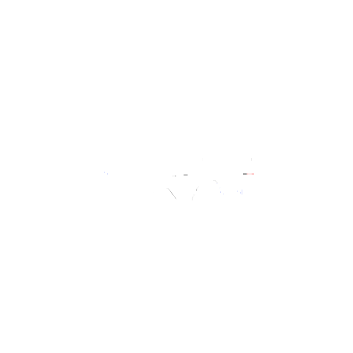 CC1C(=O)NN=C(c2ccc(CCCCN)cc2)C1C